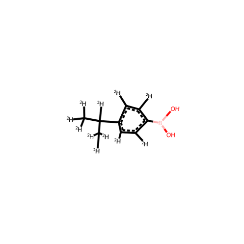 [2H]c1c([2H])c(C([2H])(C([2H])([2H])[2H])C([2H])([2H])[2H])c([2H])c([2H])c1B(O)O